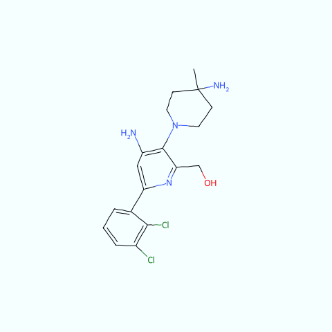 CC1(N)CCN(c2c(N)cc(-c3cccc(Cl)c3Cl)nc2CO)CC1